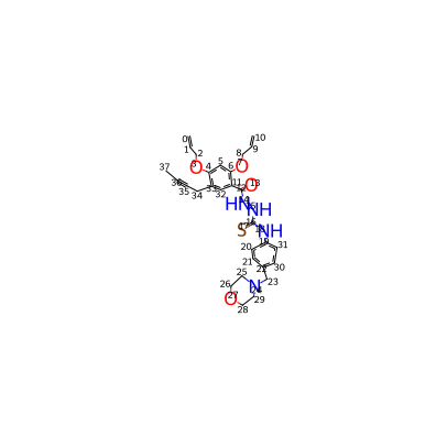 C=CCOc1cc(OCC=C)c(C(=O)NNC(=S)Nc2ccc(CN3CCOCC3)cc2)cc1CC#CC